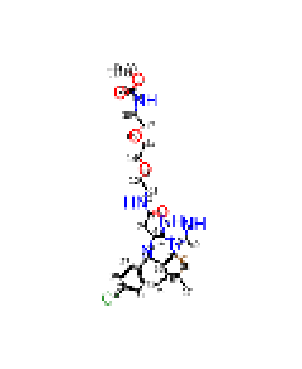 CC(=N)N1C(=N)[C@H](CC(=O)NCCOCCOCCNC(=O)OC(C)(C)C)N=C(c2ccc(Cl)cc2)c2c1sc(C)c2C